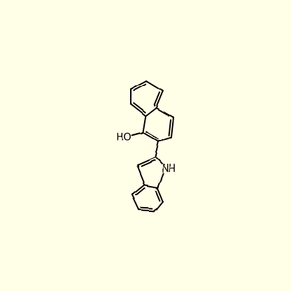 Oc1c(-c2cc3ccccc3[nH]2)ccc2ccccc12